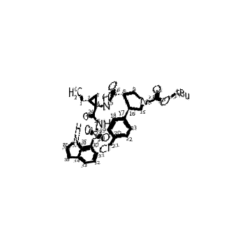 C=C[C@@H]1C[C@]1(NC(=O)[C@@H]1CN(C(=O)OC(C)(C)C)C[C@H]1c1ccc(Cl)cc1)C(=O)NS(=O)(=O)c1cccc2cc[nH]c12